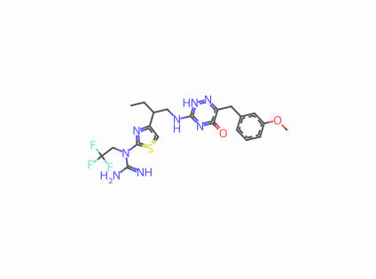 CCC(CNc1nc(=O)c(Cc2cccc(OC)c2)n[nH]1)c1csc(N(CC(F)(F)F)C(=N)N)n1